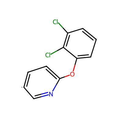 Clc1cccc(Oc2cc[c]cn2)c1Cl